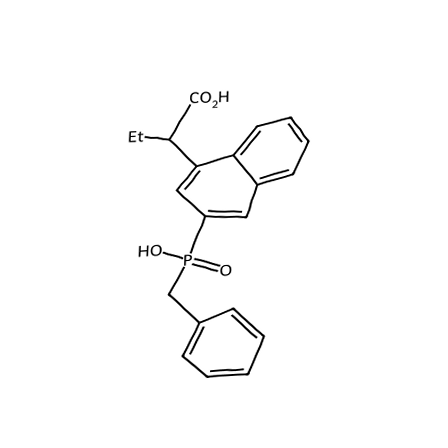 CCC(C(=O)O)c1cc(P(=O)(O)Cc2ccccc2)cc2ccccc12